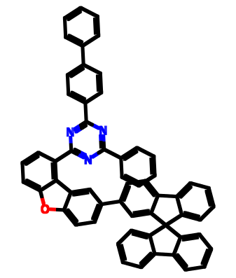 c1ccc(-c2ccc(-c3nc(-c4ccccc4)nc(-c4cccc5oc6ccc(-c7ccc8c(c7)C7(c9ccccc9-c9ccccc97)c7ccccc7-8)cc6c45)n3)cc2)cc1